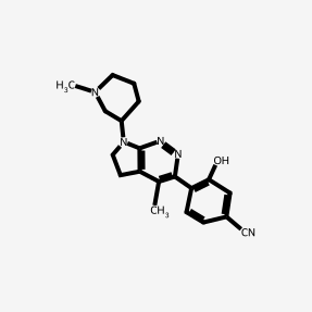 Cc1c(-c2ccc(C#N)cc2O)nnc2c1CCN2C1CCCN(C)C1